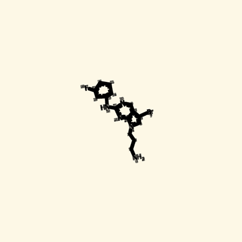 NCCCn1cc(Br)c2cnc(Nc3cccc(F)c3)nc21